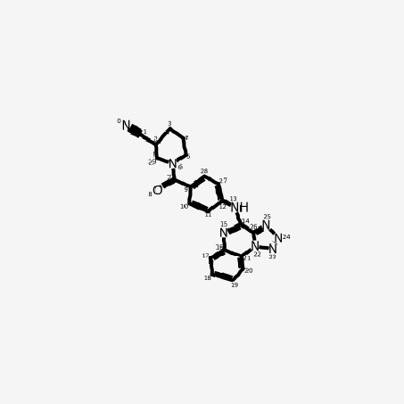 N#CC1CCCN(C(=O)c2ccc(Nc3nc4ccccc4n4nnnc34)cc2)C1